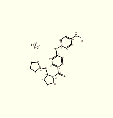 Cl.Cl.O=C(c1ccc(Oc2ccc(OC(F)(F)F)cc2)nc1)N1CCCC1CN1CCCC1